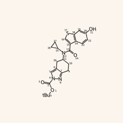 CC(C)(C)OC(=O)n1cc2c(n1)CCC(N(C(=O)c1csc3cc(O)ccc13)C1CC1)C2